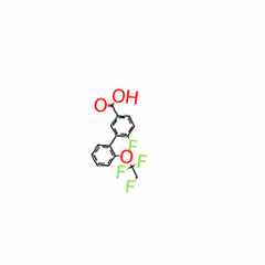 O=C(O)c1ccc(F)c(-c2ccccc2OC(F)(F)CF)c1